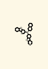 c1ccc2cc(N(c3ccc4c(c3)oc3cnccc34)c3cnc4c(c3)oc3ccccc34)ccc2c1